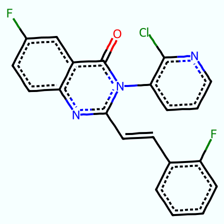 O=c1c2cc(F)ccc2nc(/C=C/c2ccccc2F)n1-c1cccnc1Cl